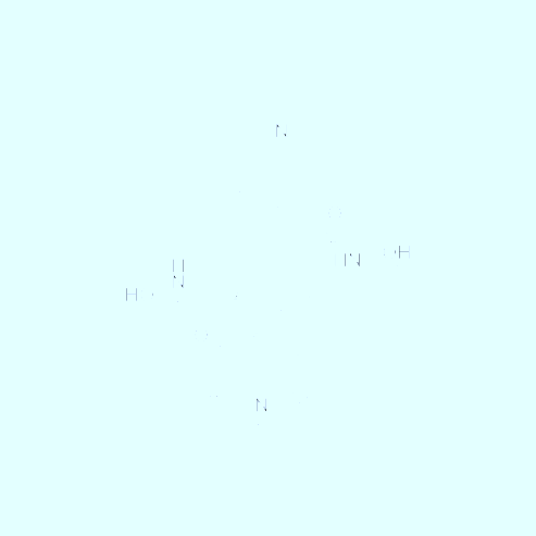 O=C(NO)c1cc(-c2ccncc2)c(C(=O)NO)cc1-c1ccncc1